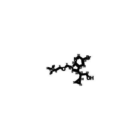 C[Si](C)(C)CCOCn1cc(C(CO)C2CC2)c2cc(Br)cnc21